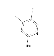 CCC(C)c1cc(C)c(F)cn1